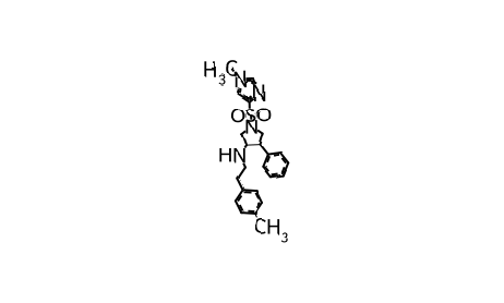 Cc1ccc(CCNC2CN(S(=O)(=O)c3cn(C)cn3)CC2c2ccccc2)cc1